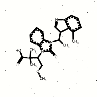 COCC(n1c(=O)n(C(C)C2C=Nc3cccc(C)c32)c2ccccc21)C(C)(C)C(=O)O